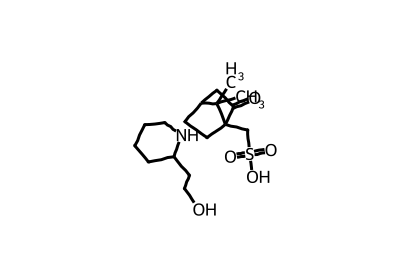 CC1(C)C2CCC1(CS(=O)(=O)O)C(=O)C2.OCCC1CCCCN1